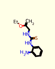 C=C(CNC(=S)Nc1ccccc1N)OCC